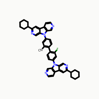 [C-]#[N+]c1cc(-n2c3cnccc3c3cc(C4CCCCC4)ncc32)ccc1-c1ccc(-n2c3cnccc3c3cc(C4CCCCC4)ncc32)cc1F